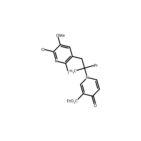 CCOC(=O)c1cn(C(C)(Cc2cc(OC)c(Cl)nc2I)C(C)C)ccc1=O